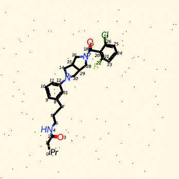 CC(C)CC(=O)NCCCc1cccc(N2CC3CN(C(=O)c4c(F)cccc4Cl)CC3C2)c1